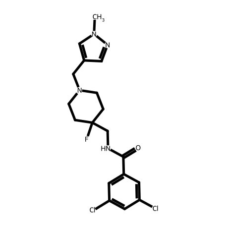 Cn1cc(CN2CCC(F)(CNC(=O)c3cc(Cl)cc(Cl)c3)CC2)cn1